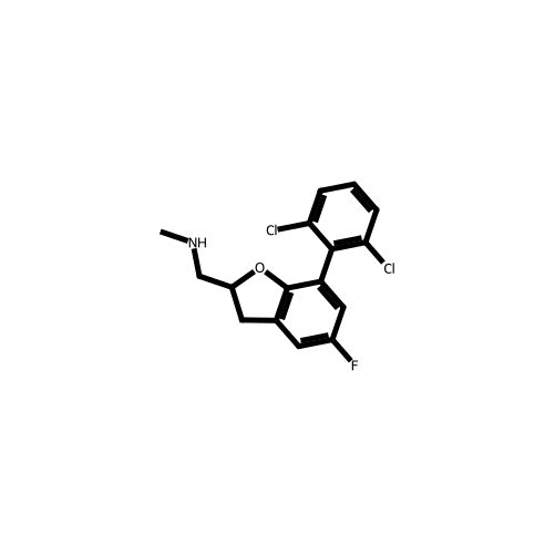 CNCC1Cc2cc(F)cc(-c3c(Cl)cccc3Cl)c2O1